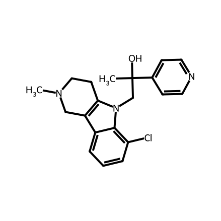 CN1CCc2c(c3cccc(Cl)c3n2CC(C)(O)c2ccncc2)C1